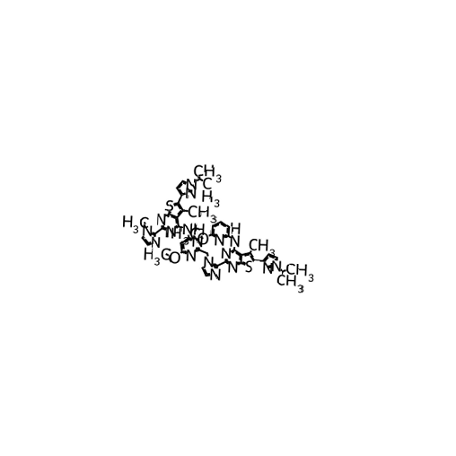 COc1cccc(Nc2nc(-c3nccn3Cc3nc(Nc4nc(-c5nccn5C)nc5sc(-c6ccn(C(C)C)n6)c(C)c45)cc(OC)n3)nc3sc(-c4ccn(C(C)C)n4)c(C)c23)n1